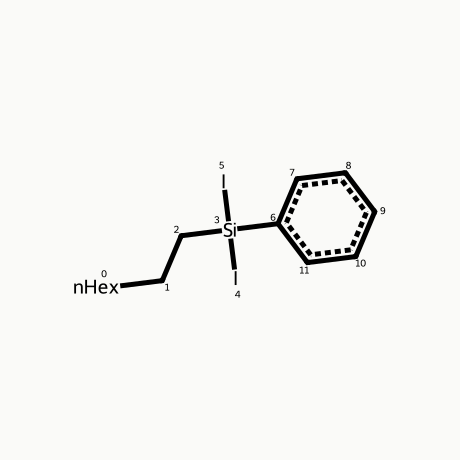 CCCCCCCC[Si](I)(I)c1ccccc1